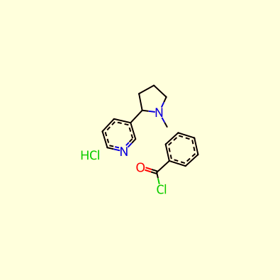 CN1CCCC1c1cccnc1.Cl.O=C(Cl)c1ccccc1